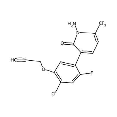 C#CCOc1cc(-c2ccc(C(F)(F)F)n(N)c2=O)c(F)cc1Cl